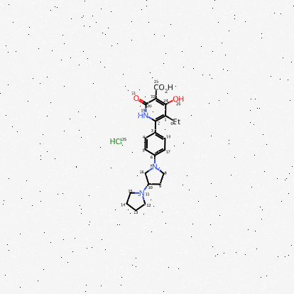 CCc1c(-c2ccc(N3CCC(N4CCCC4)C3)cc2)[nH]c(=O)c(C(=O)O)c1O.Cl